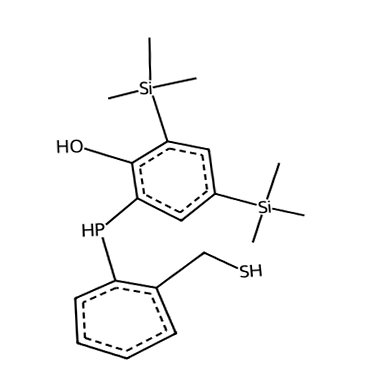 C[Si](C)(C)c1cc(Pc2ccccc2CS)c(O)c([Si](C)(C)C)c1